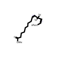 [2H]C([2H])(/C=C\CCCCC)/C=C\CCCCCCCC(=O)OC